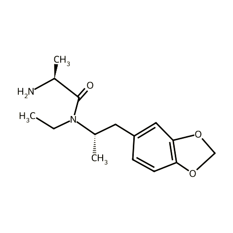 CCN(C(=O)[C@H](C)N)[C@@H](C)Cc1ccc2c(c1)OCO2